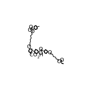 C=CC(=O)OCCCCCCOc1ccc(C(=O)Oc2ccc(-c3cc(OCCCCCCCCOS(=O)(=O)c4ccc(C)cc4)ccc3C(=O)O)cc2)cc1